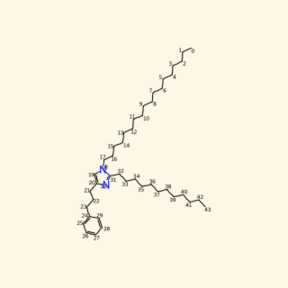 CCCCCCCCCCCCCCCCCCn1cc(CCCc2ccccc2)nc1CCCCCCCCCCCC